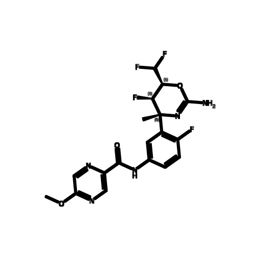 COc1cnc(C(=O)Nc2ccc(F)c([C@@]3(C)N=C(N)O[C@H](C(F)F)[C@@H]3F)c2)cn1